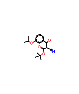 CC(C)Oc1cccc(C(=O)C(C#N)C(=O)OC(C)(C)C)c1